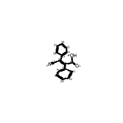 N#C/C(=C(/C(=O)O)c1ccccc1)c1ccccc1